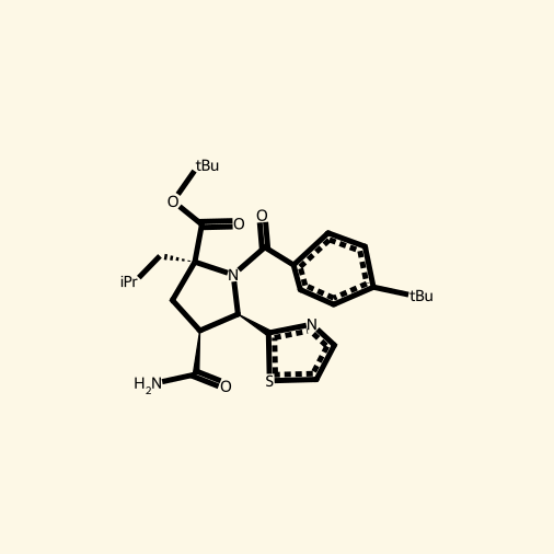 CC(C)C[C@@]1(C(=O)OC(C)(C)C)C[C@H](C(N)=O)[C@H](c2nccs2)N1C(=O)c1ccc(C(C)(C)C)cc1